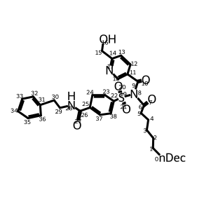 CCCCCCCCCCCCCCCC(=O)N(C(=O)c1ccc(CO)nc1)S(=O)(=O)c1ccc(C(=O)NCCc2ccccc2)cc1